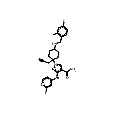 N#CCC1(n2cc(C(N)=O)c(Nc3ccnc(F)c3)n2)CCC(NCc2ccc(F)cc2F)CC1